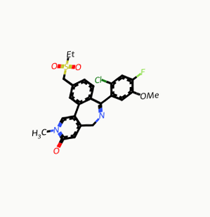 CCS(=O)(=O)Cc1ccc2c(c1)-c1cn(C)c(=O)cc1CN=C2c1cc(OC)c(F)cc1Cl